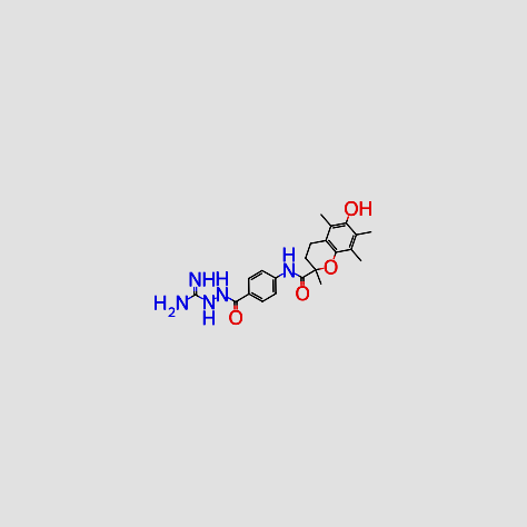 Cc1c(C)c2c(c(C)c1O)CCC(C)(C(=O)Nc1ccc(C(=O)NNC(=N)N)cc1)O2